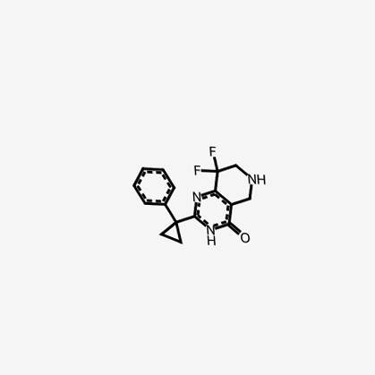 O=c1[nH]c(C2(c3ccccc3)CC2)nc2c1CNCC2(F)F